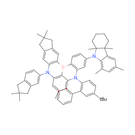 Cc1cc2c3c(c1)N(c1ccc(C(C)(C)C)cc1-c1ccccc1)c1cc(N4c5c(C)cc(C)cc5C5(C)CCCCC45C)ccc1B3c1cc3c(cc1N2c1ccc2c(c1)CC(C)(C)C2)CC(C)(C)C3